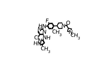 Cc1cc(Nc2nc(Nc3cc(C)c(C4CCN(C(=O)C5CN(C)C5)CC4)cc3F)ncc2Cl)n[nH]1